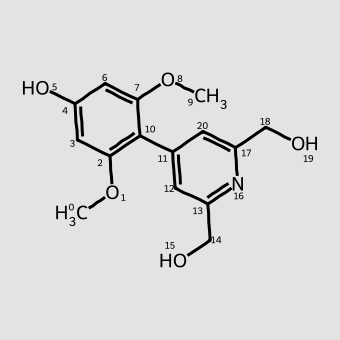 COc1cc(O)cc(OC)c1-c1cc(CO)nc(CO)c1